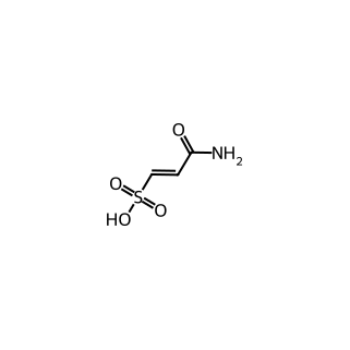 NC(=O)C=CS(=O)(=O)O